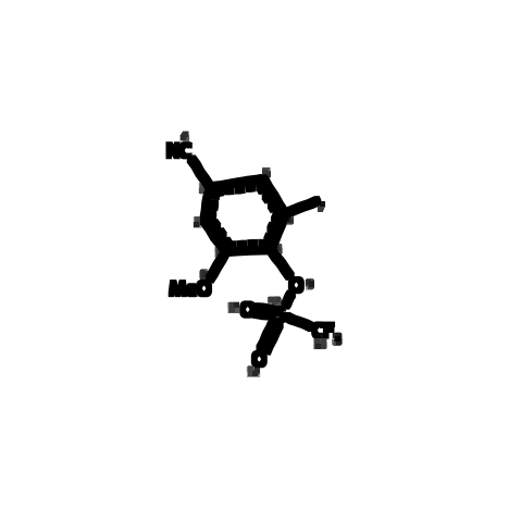 COc1cc(C#N)cc(C)c1OS(=O)(=O)C(F)(F)F